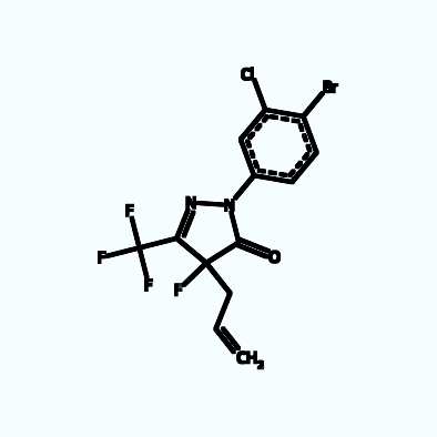 C=CCC1(F)C(=O)N(c2ccc(Br)c(Cl)c2)N=C1C(F)(F)F